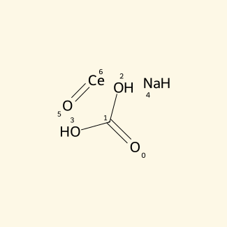 O=C(O)O.[NaH].[O]=[Ce]